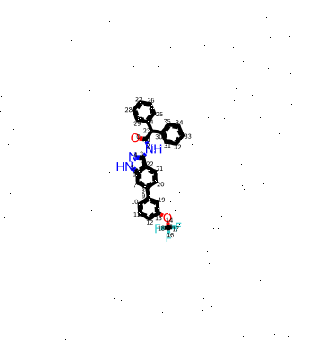 O=C(Nc1n[nH]c2cc(-c3cccc(OC(F)(F)F)c3)ccc12)C(c1ccccc1)c1ccccc1